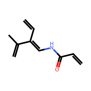 C=CC(=O)N/C=C(\C=C)C(=C)C